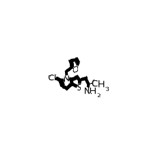 C[C@H](N)CC1C=C2C(=CC=C(Cl)N2Cc2ccco2)S1